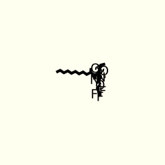 CCCCCCCCCC(C)c1nc(OCC(F)(F)F)n(C)c1S(=O)(=O)CC